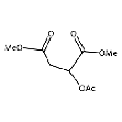 COC(=O)CC(OC(C)=O)C(=O)OC